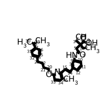 CCC(CC)(CC(=O)Nc1cccc(C=Cc2nc(OCCCCc3ccc(C(C)C)cc3)ccc2C)c1)C(=O)O